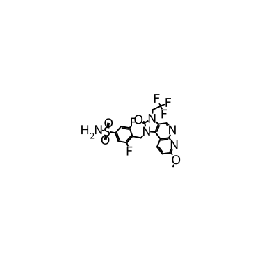 COc1ccc2c(ncc3c2n(Cc2c(F)cc(S(N)(=O)=O)cc2F)c(=O)n3CC(F)(F)F)n1